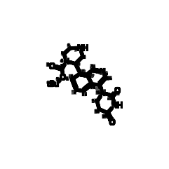 CC(C)(C)OC(=O)N1CCNCC1c1cccc2c(N3CCC(=O)NC3=O)cncc12